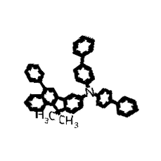 CC1(C)c2ccc(N(c3ccc(-c4ccccc4)cc3)c3ccc(-c4ccccc4)cc3)cc2-c2cc(-c3ccccc3)c3ccccc3c21